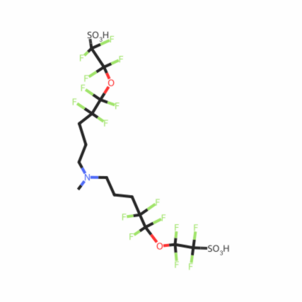 CN(CCCC(F)(F)C(F)(F)OC(F)(F)C(F)(F)S(=O)(=O)O)CCCC(F)(F)C(F)(F)OC(F)(F)C(F)(F)S(=O)(=O)O